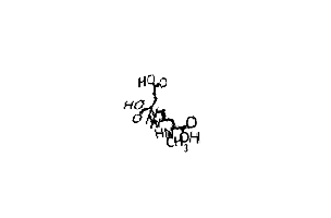 CNC(Cc1cn(C(CCC(=O)O)C(=O)O)nn1)C(=O)O